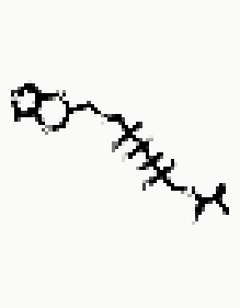 C=C(C)C(=O)OCC(F)(F)C(F)(F)C(F)(F)C(F)(F)COCC1COc2cscc2O1